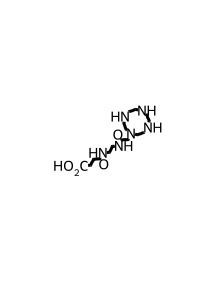 O=C(O)CCC(=O)NCCNC(=O)CN1CCNCCNCCNCC1